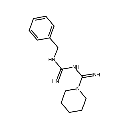 N=C(NCc1ccccc1)NC(=N)N1CCCCC1